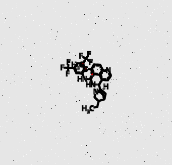 CCC1CN2CCC1C[C@@H]2[C@@H](NC(=S)Nc1cc(C(F)(F)F)cc(C(F)(F)F)c1)c1ccnc2ccc(OC)cc12